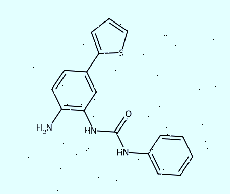 Nc1ccc(-c2cccs2)cc1NC(=O)Nc1ccccc1